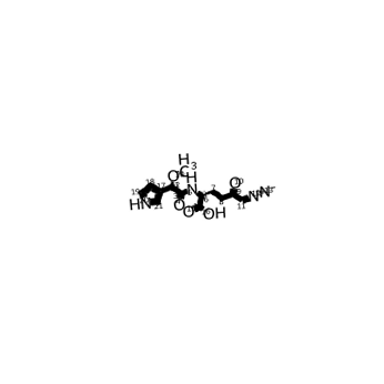 CO[C@@H](C(=O)N[C@@H](CCC(=O)C=[N+]=[N-])C(=O)O)c1cc[nH]c1